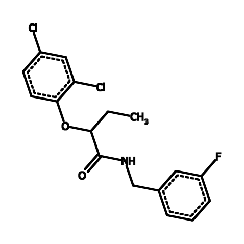 CCC(Oc1ccc(Cl)cc1Cl)C(=O)NCc1cccc(F)c1